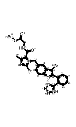 CCCCOC(=O)CNC(=O)c1c(C)nc(CC)n1Cc1ccc2oc(-c3ccccc3-c3nnn[nH]3)c(Br)c2c1